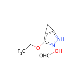 FC(F)(F)COc1n[nH]c2c1C2.O=CO